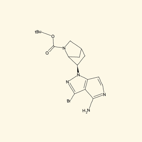 CC(C)(C)OC(=O)N1CC2CC1[C@H](n1nc(Br)c3c(N)nccc31)C2